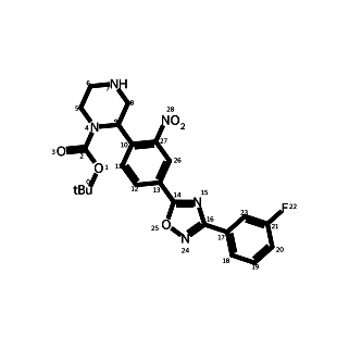 CC(C)(C)OC(=O)N1CCNCC1c1ccc(-c2nc(-c3cccc(F)c3)no2)cc1[N+](=O)[O-]